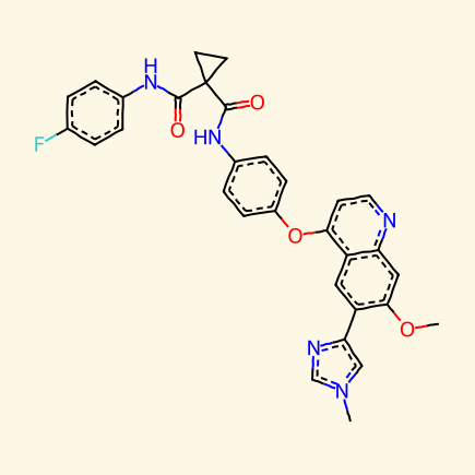 COc1cc2nccc(Oc3ccc(NC(=O)C4(C(=O)Nc5ccc(F)cc5)CC4)cc3)c2cc1-c1cn(C)cn1